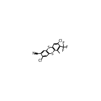 Cc1c2c(cc(Cl)c1C(F)(F)F)Sc1cc(C#N)c(Cl)cc1S2